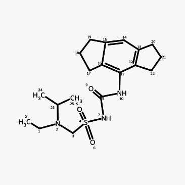 CCN(CS(=O)(=O)NC(=O)Nc1c2c(cc3c1CCC3)CCC2)C(C)C